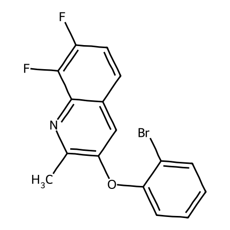 Cc1nc2c(F)c(F)ccc2cc1Oc1ccccc1Br